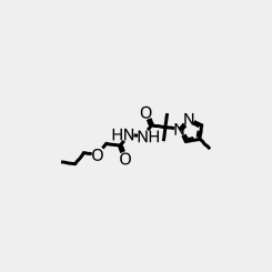 CCCOCC(=O)NNC(=O)C(C)(C)n1cc(C)cn1